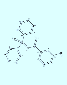 O=S1(c2ccccc2)=NC(c2cccc(Br)c2)=Cc2ccccc21